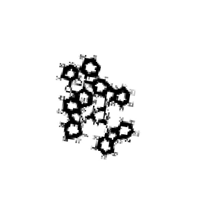 c1ccc([Si]2(c3ccc4c5ccccc5n(-c5nc(-n6c7ccccc7c7ccccc76)nc(-n6c7ccccc7c7ccccc76)n5)c4c3)c3ccccc3Oc3ccccc32)cc1